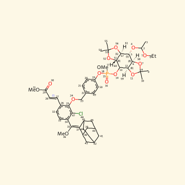 CCOC(C)O[C@@H]1[C@H]2OC(C)(C)O[C@H]2C(OP(=O)(OC)Oc2ccc(COc3c(/C=C/C(=O)OC)ccc(C(OC)=C4C5CC6CC(C5)CC4C6)c3Cl)cc2)[C@@H]2OC(C)(C)O[C@@H]12